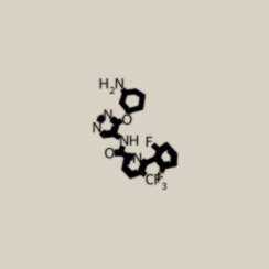 NC1CCCC(Oc2ncncc2NC(=O)c2ccc(C(F)(F)F)c(-c3c(F)cccc3F)n2)C1